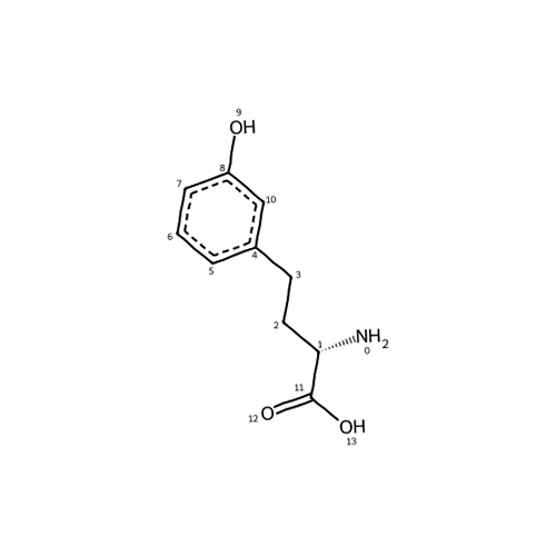 N[C@@H](CCc1cccc(O)c1)C(=O)O